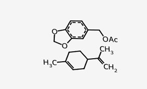 C=C(C)C1CC=C(C)CC1.CC(=O)OCc1ccc2c(c1)OCO2